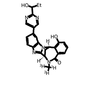 [2H]C([2H])([2H])N1C(=O)c2cccc(O)c2[C@H]2C[C@@H]1c1nc3ccc(-c4cnc(C(O)CC)nc4)cc3n12